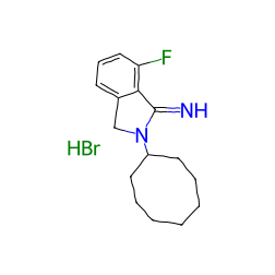 Br.N=C1c2c(F)cccc2CN1C1CCCCCCC1